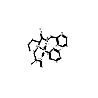 C=C[C@@H](C)[C@@H]1CCCC(C(=O)NCc2ccccn2)N1S(=O)(=O)c1ccccc1